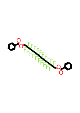 O=C(OCC(F)(F)C(F)(F)C(F)(F)C(F)(F)C(F)(F)C(F)(F)C(F)(F)C(F)(F)C(F)(F)C(F)(F)COC(=O)c1ccccc1)c1ccccc1